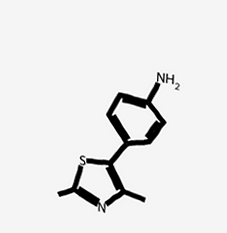 Cc1nc(C)c(-c2ccc(N)cc2)s1